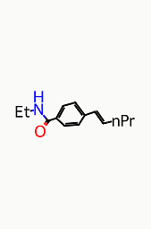 CCC/C=C/c1ccc(C(=O)NCC)cc1